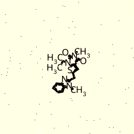 CC(C)n1c(=O)n(C)c(=O)c2cc(Cc3nc4ccccc4n3C)sc21